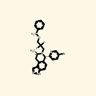 C[C@@H]1Cc2c(ccc3[nH]ncc23)[C@@H](c2ccc(Br)cn2)N1CC(F)(F)CO[SiH2]c1ccccc1